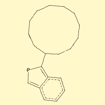 C1=c2ccccc2=C(C2CCCCCCCCCCC2)[P]1